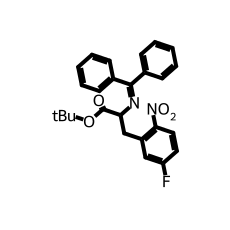 CC(C)(C)OC(=O)C(Cc1cc(F)ccc1[N+](=O)[O-])N=C(c1ccccc1)c1ccccc1